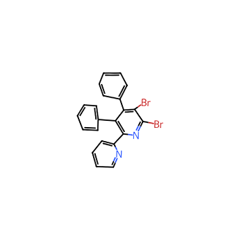 Brc1nc(-c2ccccn2)c(-c2ccccc2)c(-c2ccccc2)c1Br